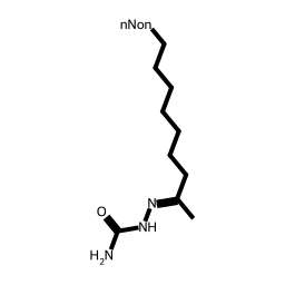 CCCCCCCCCCCCCCCCC(C)=NNC(N)=O